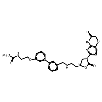 COC(=O)NCCOc1cccc(-c2cccc(CNCC[C@H]3CN(c4ccc5c(n4)NC(=O)CO5)C(=O)O3)c2)c1